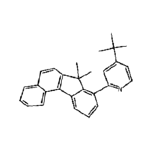 CC(C)(C)c1ccnc(-c2cccc3c2C(C)(C)c2ccc4ccccc4c2-3)c1